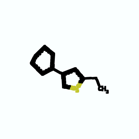 CCc1cc(-c2ccccc2)cs1